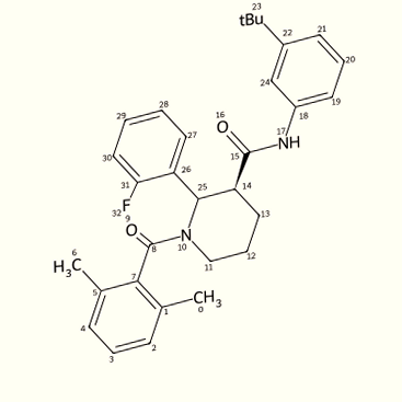 Cc1cccc(C)c1C(=O)N1CCC[C@H](C(=O)Nc2cccc(C(C)(C)C)c2)C1c1ccccc1F